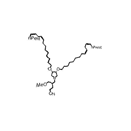 CCCCC/C=C\C/C=C\CCCCCCCCO[C@@H]1CN(CC(CCO)COC)C[C@H]1OCCCCCCCC/C=C\C/C=C\CCCCC